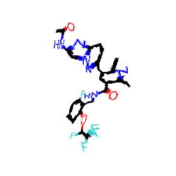 CC(=O)Nc1cn2nc(-c3cc(C(=O)NCc4c(F)cccc4OC(F)C(F)F)c(C)nc3C)ccc2n1